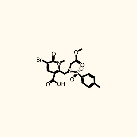 COC(=O)CN(Cc1c(C(=O)O)cc(Br)c(=O)n1C)S(=O)(=O)c1ccc(C)cc1